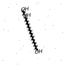 OCCCCCCCCCCCCCCCCCCCCCCNCCCO